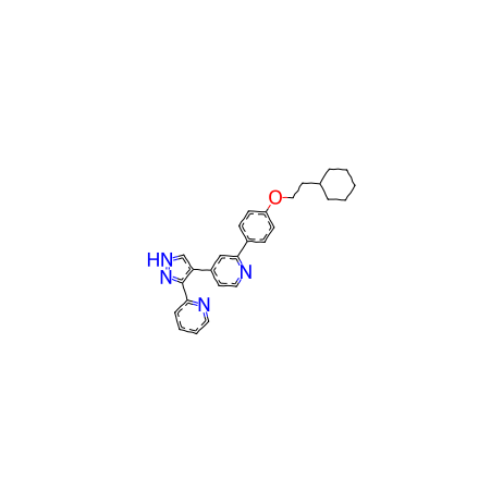 c1ccc(-c2n[nH]cc2-c2ccnc(-c3ccc(OCCC4CCCCC4)cc3)c2)nc1